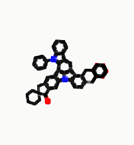 O=C1c2cc3c(cc2CC12CCCCC2)c1c2c(cc4c5c6c(ccc5n3c41)C1c3ccccc3C6c3ccccc31)c1ccccc1n2-c1ccccc1